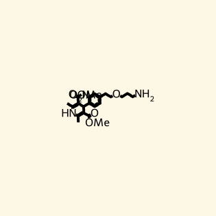 COC(=O)C1=C(C)NC(C)=C(C(=O)OC)C1c1ccc(CCOCCCN)cc1[N+](=O)[O-]